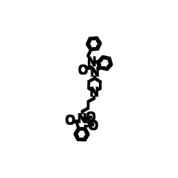 O=C1c2ccccc2S(=O)(=O)N1CCCCN1CCC(n2c(=O)n(Cc3ccccc3)c3ccccc32)CC1